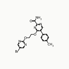 Cc1ccc(-c2[c]nc(C(N)=O)nc2OCCOc2ncc(Br)cn2)cc1